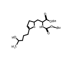 COC(=O)C(CC1CC=C(CCCC(C)O)S1)NC(=O)OC(C)(C)C